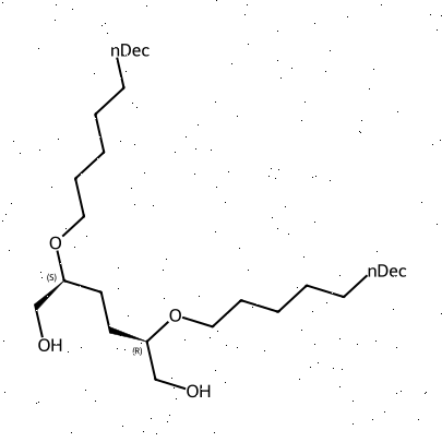 CCCCCCCCCCCCCCCO[C@H](CO)CC[C@H](CO)OCCCCCCCCCCCCCCC